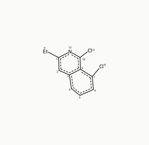 CCc1cc2cccc(Cl)c2c(Cl)n1